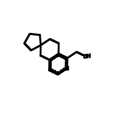 OCc1nccc2c1CCC1(CCCC1)C2